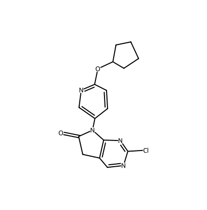 O=C1Cc2cnc(Cl)nc2N1c1ccc(OC2CCCC2)nc1